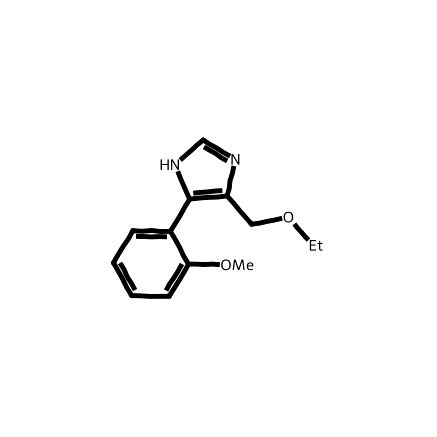 CCOCc1nc[nH]c1-c1ccccc1OC